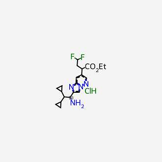 CCOC(=O)C(CC(F)F)c1cnn2cc([C@@H](N)C(C3CC3)C3CC3)nc2c1.Cl